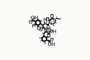 CCN1CCN(C(=O)NC(C(=O)N[C@H]2Cc3cccc(C(=O)O)c3OB2O)c2ccc(C(=O)O)c(F)c2Cl)C(=O)C1=O